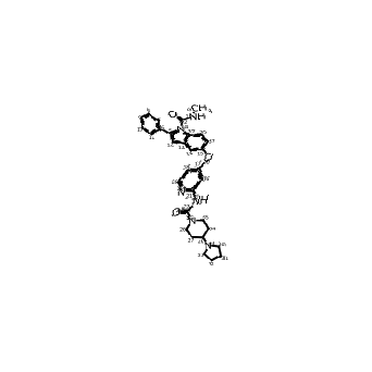 CNC(=O)n1c(-c2ccccc2)cc2cc(Oc3ccnc(NC(=O)N4CCC(N5CCCC5)CC4)c3)ccc21